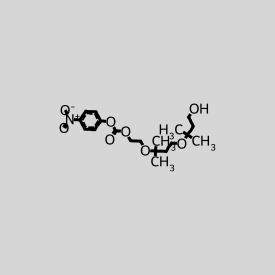 CC(C)(CCO)OCCC(C)(C)OCCOC(=O)Oc1ccc([N+](=O)[O-])cc1